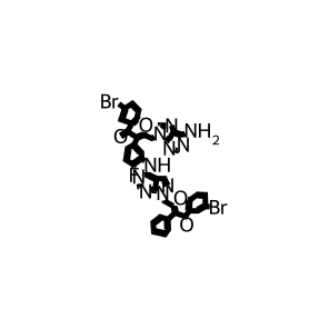 Nc1ncnc2c1ncn2Cc1oc2ccc(Br)cc2c(=O)c1-c1ccc(F)c(Nc2ncnc3c2cnn3Cc2oc3ccc(Br)cc3c(=O)c2-c2ccccc2)c1